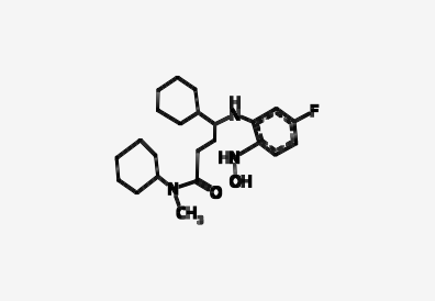 CN(C(=O)CCC(Nc1cc(F)ccc1NO)C1CCCCC1)C1CCCCC1